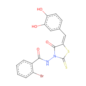 O=C(NN1C(=O)C(=Cc2ccc(O)c(O)c2)SC1=S)c1ccccc1Br